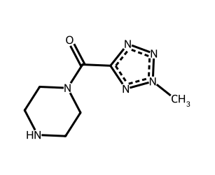 Cn1nnc(C(=O)N2CCNCC2)n1